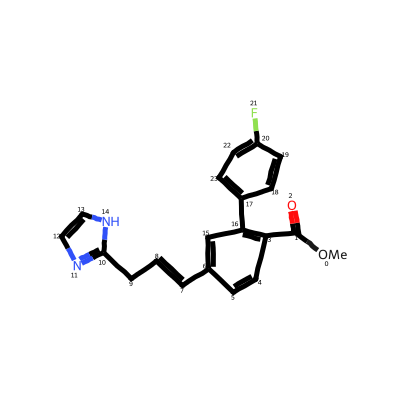 COC(=O)c1ccc(/C=C/Cc2ncc[nH]2)cc1-c1ccc(F)cc1